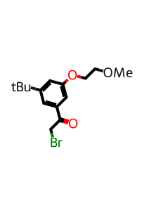 COCCOc1cc(C(=O)CBr)cc(C(C)(C)C)c1